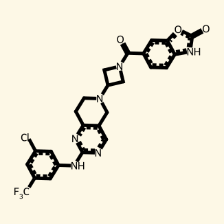 O=C(c1ccc2[nH]c(=O)oc2c1)N1CC(N2CCc3nc(Nc4cc(Cl)cc(C(F)(F)F)c4)ncc3C2)C1